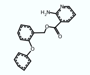 Nc1ncccc1C(=O)OCc1ccccc1Oc1ccccc1